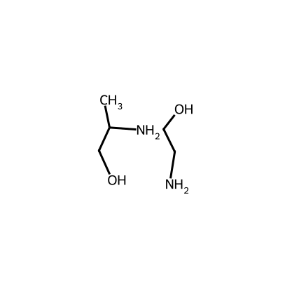 CC(N)CO.NCCO